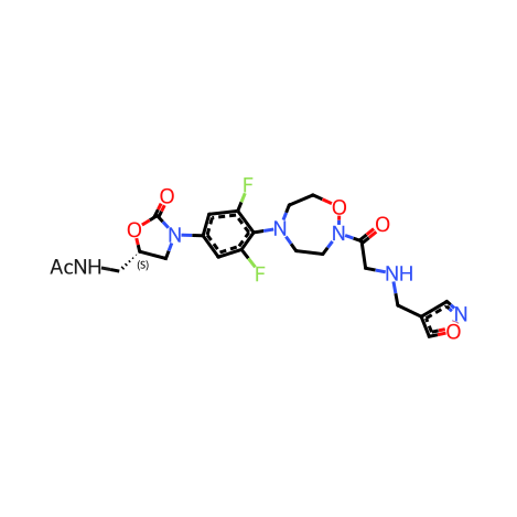 CC(=O)NC[C@H]1CN(c2cc(F)c(N3CCON(C(=O)CNCc4cnoc4)CC3)c(F)c2)C(=O)O1